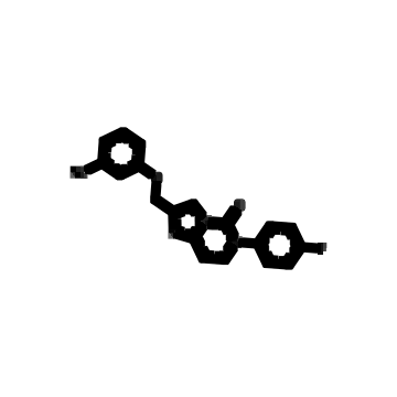 N#Cc1cccc(OCc2cn3c(=O)n(-c4ccc(F)cc4)ccc3n2)c1